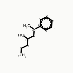 CCCC(O)CN(C)c1ccccc1